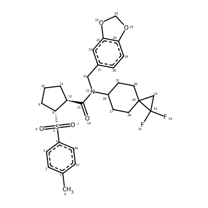 Cc1ccc(S(=O)(=O)[C@@H]2CCC[C@H]2C(=O)N(Cc2ccc3c(c2)OCO3)C2CCC3(CC2)CC3(F)F)cc1